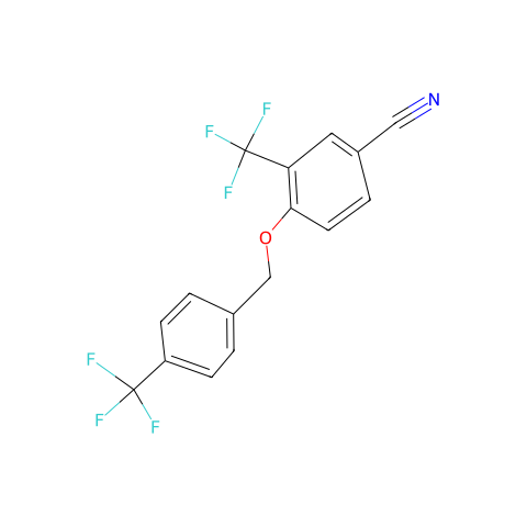 N#Cc1ccc(OCc2ccc(C(F)(F)F)cc2)c(C(F)(F)F)c1